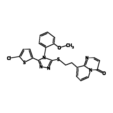 COc1ccccc1-n1c(SCCc2cccn3c(=O)ccnc23)nnc1-c1ccc(Cl)s1